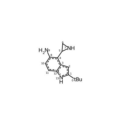 CC(C)(C)c1cc2c(C3CN3)c(N)ccc2[nH]1